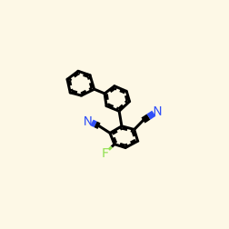 N#Cc1ccc(F)c(C#N)c1-c1cccc(-c2ccccc2)c1